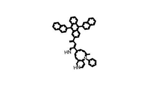 C=C(/C=C(\C=N)c1ccc2c(n(-c3ccccc3)c(C)cc1)C=CNC2)c1ccc2c(-c3ccc4ccccc4c3)c3ccccc3c(-c3ccc4ccccc4c3)c2c1